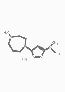 Br.CN1CCCN(C2N=C(N(C)C)SS2)CC1